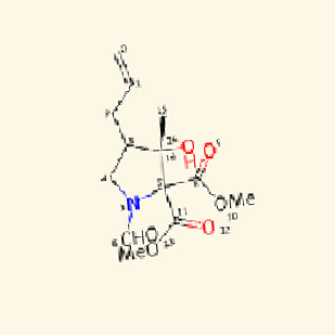 C=CCC1CN(C=O)C(C(=O)OC)(C(=O)OC)[C@@]1(C)O